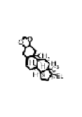 CC[C@H]1CC[C@H]2[C@@H]3CC=C4CC5OCOC5C[C@]4(C)[C@H]3CC[C@]12C